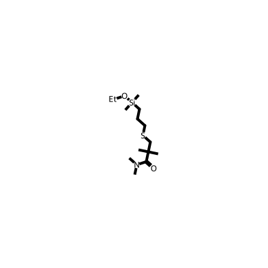 CCO[Si](C)(C)CCCSCC(C)(C)C(=O)N(C)C